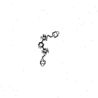 c1cc(-c2nnn(CCN3CCOCC3)n2)cc(-c2nnn(CCN3CCOCC3)n2)n1